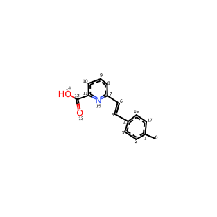 Cc1ccc(C=Cc2cccc(C(=O)O)n2)cc1